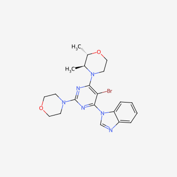 C[C@@H]1OCCN(c2nc(N3CCOCC3)nc(-n3cnc4ccccc43)c2Br)[C@H]1C